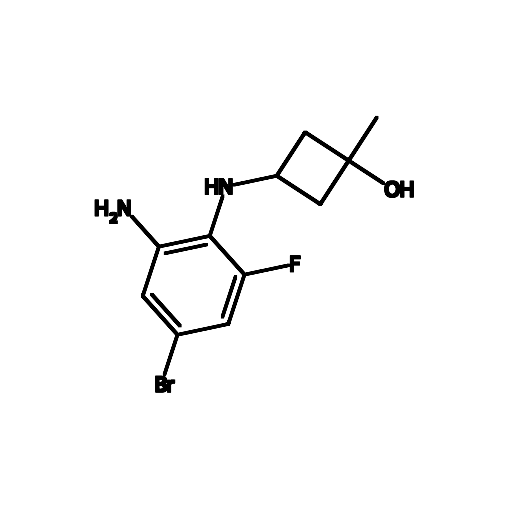 CC1(O)CC(Nc2c(N)cc(Br)cc2F)C1